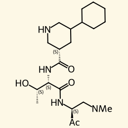 CNC[C@H](NC(=O)[C@@H](NC(=O)[C@@H]1CNCC(C2CCCCC2)C1)[C@H](C)O)C(C)=O